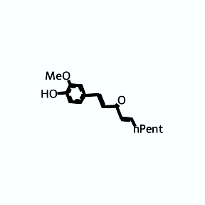 CCCCCC=CC(=O)C=Cc1ccc(O)c(OC)c1